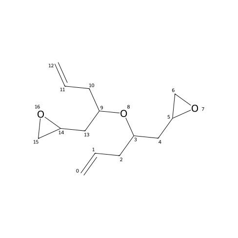 C=CCC(CC1CO1)OC(CC=C)CC1CO1